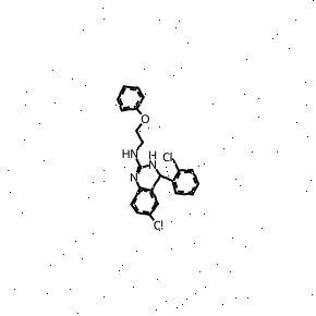 Clc1ccc2c(c1)C(c1ccccc1Cl)NC(NCCOc1ccccc1)=N2